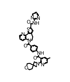 Cc1cnc(N2CC3(CCOCC3)C2)c(C(=O)Nc2ccc(C(=O)N3CCc4cc(C(=O)Nc5ncccn5)sc4-c4ncccc43)cc2)c1